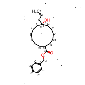 C=CC[C@@]1(O)CCCCCCC(C(=O)OCc2ccccc2)CCCCC1